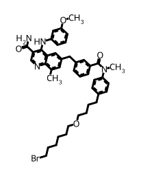 COc1cccc(Nc2c(C(N)=O)cnc3c(C)cc(Cc4cccc(C(=O)N(C)c5ccc(CCCCOCCCCCCBr)cc5)c4)cc23)c1